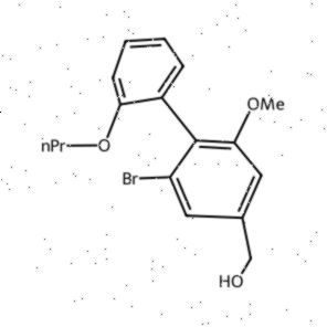 CCCOc1ccccc1-c1c(Br)cc(CO)cc1OC